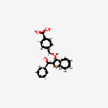 O=C(O)c1ccc(COc2c(C(=O)c3ccccc3)sc3ccccc23)cc1